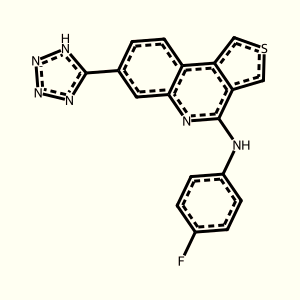 Fc1ccc(Nc2nc3cc(-c4nnn[nH]4)ccc3c3cscc23)cc1